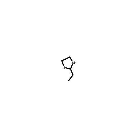 C[CH]C1NCCS1